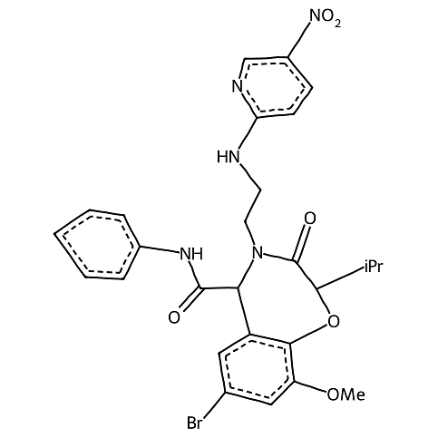 COc1cc(Br)cc2c1OC(C(C)C)C(=O)N(CCNc1ccc([N+](=O)[O-])cn1)C2C(=O)Nc1ccccc1